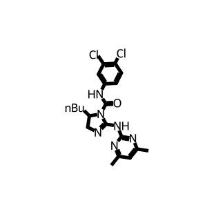 CCCCC1CN=C(Nc2nc(C)cc(C)n2)N1C(=O)Nc1ccc(Cl)c(Cl)c1